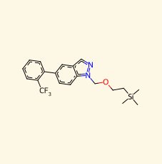 C[Si](C)(C)CCOCn1ncc2cc(-c3ccccc3C(F)(F)F)ccc21